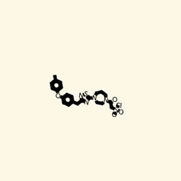 Cc1ccc(Oc2ccc(Cc3nsc(N4CCCN(C(=O)CS(=O)(=O)Cl)CC4)n3)cc2)cc1